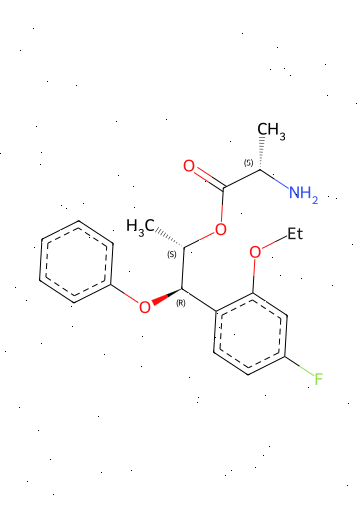 CCOc1cc(F)ccc1[C@@H](Oc1ccccc1)[C@H](C)OC(=O)[C@H](C)N